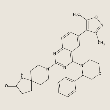 Cc1noc(C)c1-c1ccc2nc(N3CCC4(CCC(=O)N4)CC3)nc(N3CCOCC3c3ccccc3)c2c1